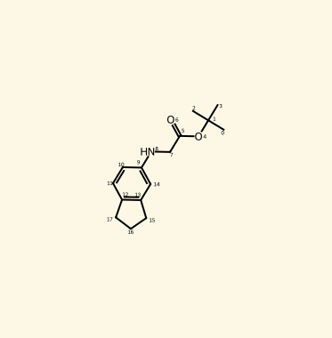 CC(C)(C)OC(=O)CNc1ccc2c(c1)CCC2